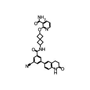 N#Cc1cc(C(=O)NC2CC3(C2)CC(Oc2ncccc2C(N)=O)C3)cc(-c2ccc3c(c2)CCC(=O)N3)c1